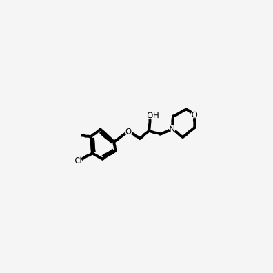 Cc1cc(OCC(O)CN2CCOCC2)ccc1Cl